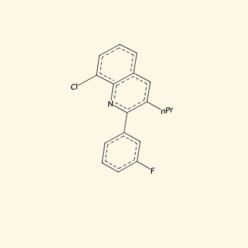 CCCc1cc2cccc(Cl)c2nc1-c1cccc(F)c1